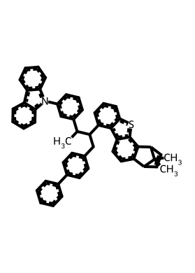 CC(c1cccc(-n2c3ccccc3c3ccccc32)c1)C(Cc1ccc(-c2ccccc2)cc1)c1cccc2sc3c4c(ccc3c12)C1C=CC4C1(C)C